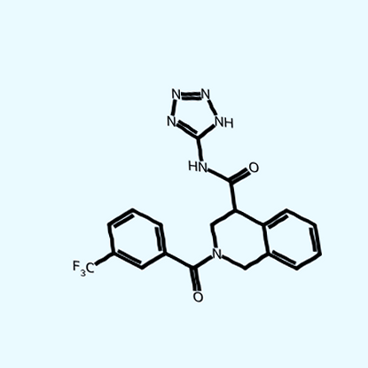 O=C(Nc1nnn[nH]1)C1CN(C(=O)c2cccc(C(F)(F)F)c2)Cc2ccccc21